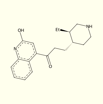 CC[C@H]1CNCC[C@@H]1CCC(=O)c1cc(O)nc2ccccc12